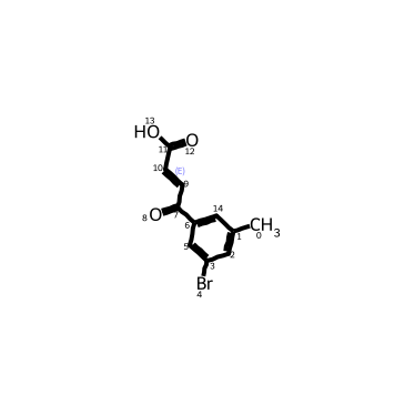 Cc1cc(Br)cc(C(=O)/C=C/C(=O)O)c1